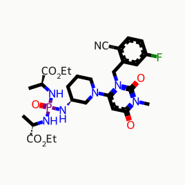 CCOC(=O)[C@H](C)NP(=O)(N[C@@H]1CCCN(c2cc(=O)n(C)c(=O)n2Cc2cc(F)ccc2C#N)C1)N[C@@H](C)C(=O)OCC